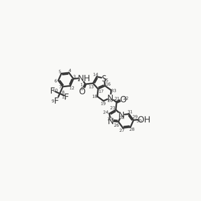 O=C(Nc1cccc(C(F)(F)F)c1)c1csc2c1CCN(C(=O)c1cnc3ccc(O)cn13)C2